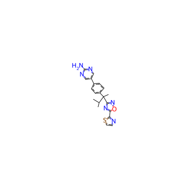 CC(C)C(C)(c1ccc(-c2cnc(N)nc2)cc1)c1noc(-c2nccs2)n1